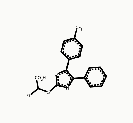 CCC(Sc1nc(-c2ccccc2)c(-c2ccc(C(F)(F)F)cc2)o1)C(=O)O